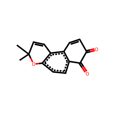 CC1(C)C=Cc2c(ccc3c2C=CC(=O)C3=O)O1